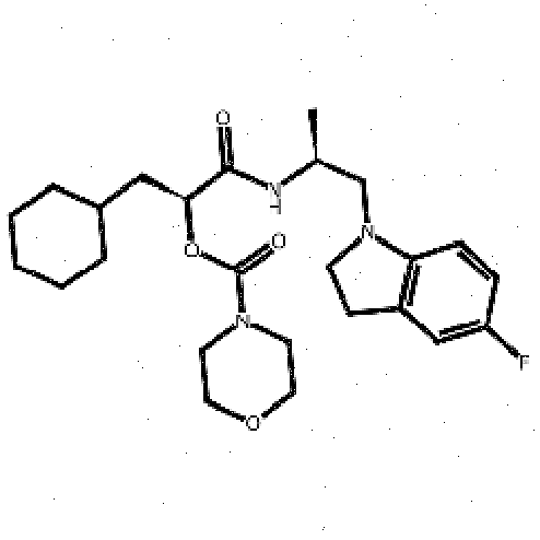 C[C@@H](CN1CCc2cc(F)ccc21)NC(=O)[C@H](CC1CCCCC1)OC(=O)N1CCOCC1